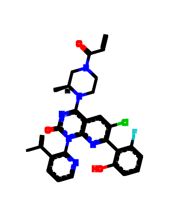 C=CC(=O)N1CCN(c2nc(=O)n(-c3ncccc3C(=C)C)c3nc(-c4c(O)cccc4F)c(Cl)cc23)[C@@H](C)C1